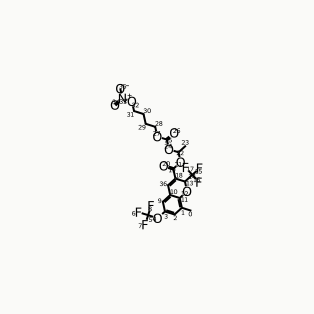 Cc1cc(OC(F)(F)F)cc2c1OC(C(F)(F)F)C(C(=O)OC(C)OC(=O)OCCCCO[N+](=O)[O-])=C2